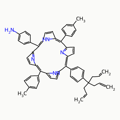 C=CCC(CC=C)(CC=C)c1ccc(-c2c3nc(c(-c4ccc(C)cc4)c4ccc([nH]4)c(-c4ccc(N)cc4)c4nc(c(-c5ccc(C)cc5)c5ccc2[nH]5)C=C4)C=C3)cc1